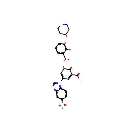 C[C@@H](OC1C=C(n2cnc3cc(S(C)(=O)=O)ccc32)C=C(C(N)=O)C1=S)c1cccc(OC2CCNCC2)c1Cl